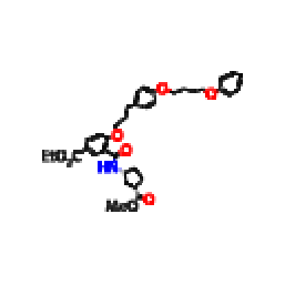 CCOC(=O)c1ccc(OCCCc2ccc(OCCCCOc3ccccc3)cc2)c(C(=O)N[C@@H]2CC[C@H](C(=O)OC)C2)c1